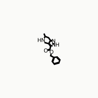 CC1Cc2n[nH]c(C(=O)OCc3ccccc3)c2CN1